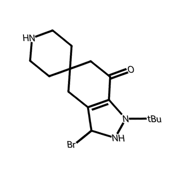 CC(C)(C)N1NC(Br)C2=C1C(=O)CC1(CCNCC1)C2